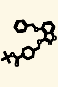 CC(C)(C)OC(=O)N1CCC(COc2noc3cccc(OCc4ccccc4)c23)CC1